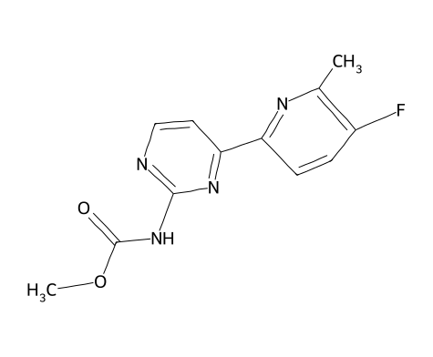 COC(=O)Nc1nccc(-c2ccc(F)c(C)n2)n1